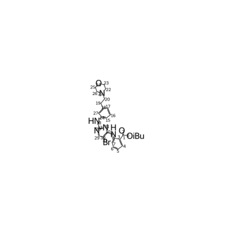 CC(C)COC(=O)c1ccccc1Nc1nc(Nc2cccc(CCN3CCOCC3)c2)ncc1Br